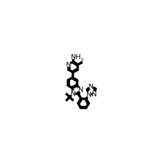 Cc1cc(-c2ccc3c(c2)nc(-c2ccccc2-n2cncn2)n3C(C)(C)C)cnc1N